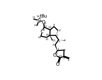 C=C1C[C@H](C[C@@H](C)[C@H]2CCC3C(O[Si](C)(C)C(C)(C)C)CCC[C@]32C)OC1=O